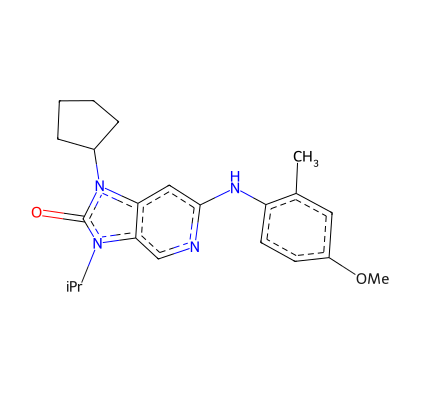 COc1ccc(Nc2cc3c(cn2)n(C(C)C)c(=O)n3C2CCCC2)c(C)c1